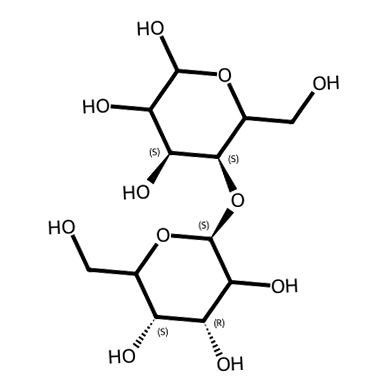 OCC1O[C@@H](O[C@@H]2C(CO)OC(O)C(O)[C@@H]2O)C(O)[C@H](O)[C@@H]1O